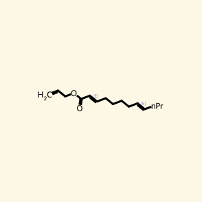 C=CCOC(=O)/C=C/CCCC/C=C/CCC